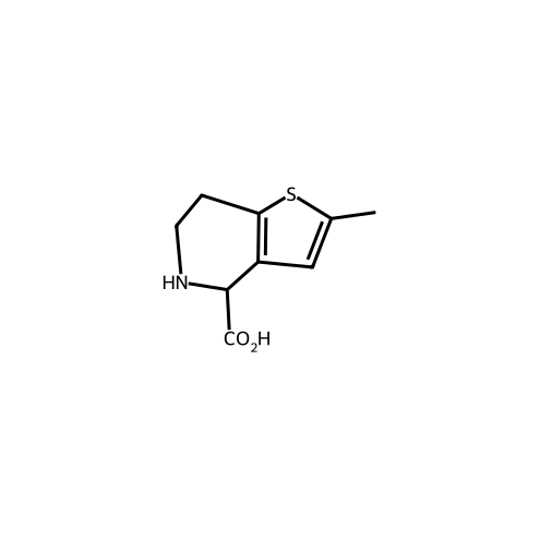 Cc1cc2c(s1)CCNC2C(=O)O